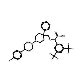 O=C(O)C(OCC1(c2ccccc2)CCC(N2CCC(c3ccc(F)cc3)CC2)CC1)c1cc(C(F)(F)F)cc(C(F)(F)F)c1